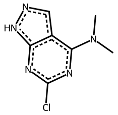 CN(C)c1nc(Cl)nc2[nH]ncc12